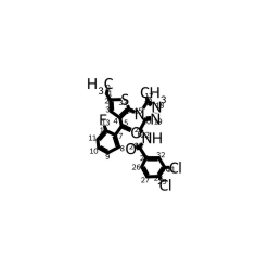 CCc1cc(C(=O)c2ccccc2F)c(-n2c(C)nnc2CNC(=O)c2ccc(Cl)c(Cl)c2)s1